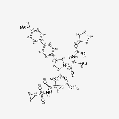 C=C[C@@H]1C[C@]1(NC(=O)[C@@H]1CN(c2ccc(-c3ccc(OC)cc3)cc2)CN1C(=O)C(NC(=O)OC1CCCC1)C(C)(C)C)C(=O)NS(=O)(=O)C1CC1